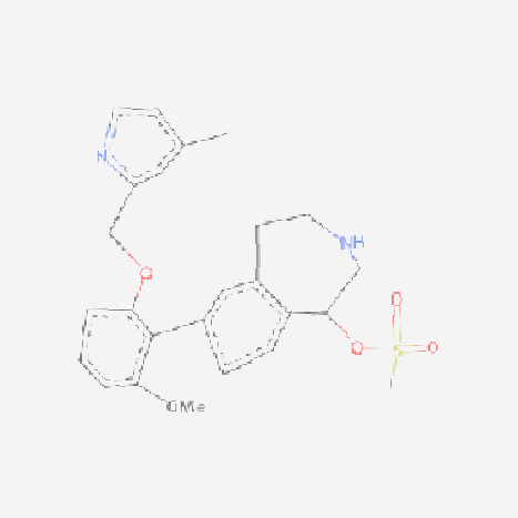 COc1cccc(OCc2cc(C)ccn2)c1-c1ccc2c(c1)CCNCC2OS(C)(=O)=O